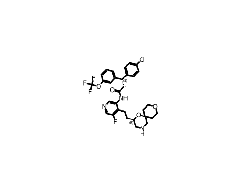 O=C([CH][C@@H](c1ccc(Cl)cc1)c1cccc(OC(F)(F)F)c1)Nc1cncc(F)c1CC[C@@H]1CNCC2(CCOCC2)O1